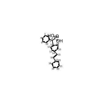 O=P(O)(O)C(c1ccccc1)c1ccc(C=Cc2ccccc2)cc1